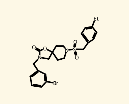 CCc1ccc(CS(=O)(=O)N2CCC3(CC2)CN(Cc2cccc(Br)c2)C(=O)O3)cc1